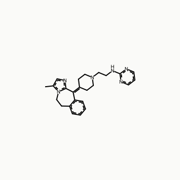 Cc1cnc2n1CCc1ccccc1C2=C1CCN(CCNc2ncccn2)CC1